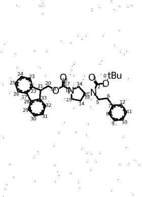 CC(C)(C)OC(=O)N(CCc1ccccc1)[C@@H]1CCN(C(=O)OCC2c3ccccc3-c3ccccc32)C1